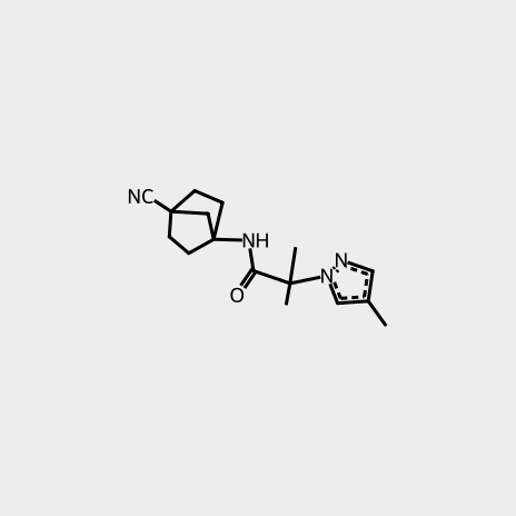 Cc1cnn(C(C)(C)C(=O)NC23CCC(C#N)(CC2)C3)c1